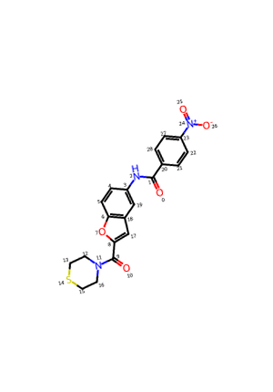 O=C(Nc1ccc2oc(C(=O)N3CCSCC3)cc2c1)c1ccc([N+](=O)[O-])cc1